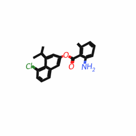 Cc1cccc(N)c1C(=O)Oc1cc(C(C)C)c2c(Cl)cccc2c1